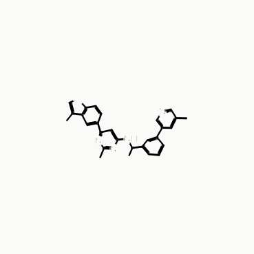 Cc1cncc(-c2cccc(C(C)Nc3cc(-c4ccc5occ(C)c5c4)nc(C)n3)c2)c1